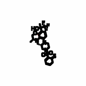 C[C@H]1COCCN1C[C@H]1CN(S(=O)(=O)C2=CC=CCC2=S)CCN1c1ccc(C(C)(O)C(F)(F)F)cc1